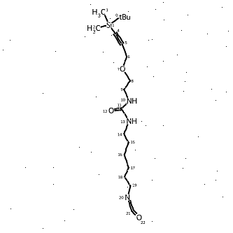 CC(C)(C)[Si](C)(C)C#CCOCCNC(=O)NCCCCCCN=C=O